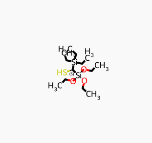 CCO[Si](OCC)(OCC)[C@@H](S)[Si](CC)(CC)CC